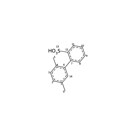 Cc1ccc(C)c(-c2ccccc2S(=O)(=O)O)c1